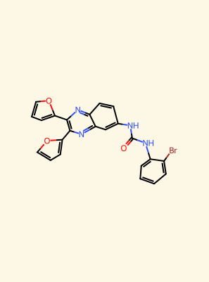 O=C(Nc1ccc2nc(-c3ccco3)c(-c3ccco3)nc2c1)Nc1ccccc1Br